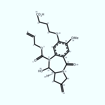 C=CCOC(=O)N1c2cc(OCCCC(=O)O)c(OC)cc2C(=O)N2CC(=C)C[C@H]2C1O